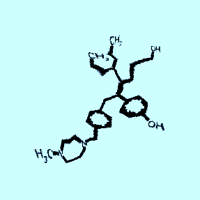 C=C/C=C(\C=C/C)C(/CCCO)=C(\Cc1ccc(CN2CCN(C)CC2)cc1)c1ccc(O)cc1